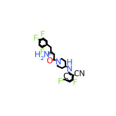 N#Cc1c(F)cc(F)cc1NC1CCN(C(=O)C[C@H](N)Cc2cc(F)c(F)cc2F)CC1